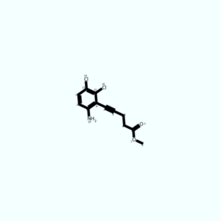 COC(=O)CCC#Cc1c(N)ccc(Cl)c1Cl